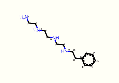 NCCNCCNCCNCCc1ccccc1